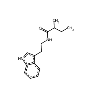 CCC(C)C(=O)NCCc1c[nH]c2ccccc12